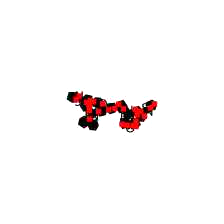 c1ccc(-c2nc(-c3cccc(-c4ccc(-c5ccc(-c6nc(-c7ccccc7)nc(-n7c8ccccc8c8ccccc87)n6)c6c5oc5ccc(-c7ccc(-c8nc9ccccc9s8)cc7)cc56)cc4)c3)nc(-c3cccc4oc5ccc(-c6ccc(-c7nc8ccccc8s7)cc6)cc5c34)n2)cc1